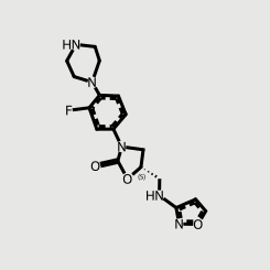 O=C1O[C@@H](CNc2ccon2)CN1c1ccc(N2CCNCC2)c(F)c1